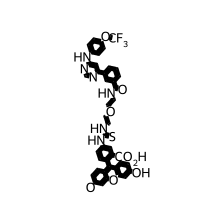 O=C(NCCOCCNC(=S)Nc1ccc(-c2c3ccc(=O)cc-3oc3cc(O)ccc23)c(C(=O)O)c1)c1cccc(-c2cc(Nc3ccc(OC(F)(F)F)cc3)ncn2)c1